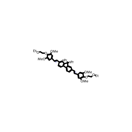 CCCC1(CCC)c2cc(/C=C/c3cc(OC)c(OCCOCC)c(OC)c3)ccc2-c2ccc(/C=C/c3cc(OC)c(OCCOCC)c(OC)c3)cc21